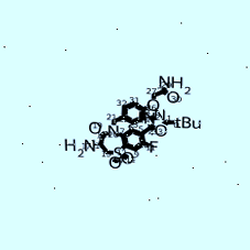 CC(C)(C)c1nnc(-c2cc3c(cc2F)S(=O)(=O)C[C@H](N)C(=O)N3Cc2ccc(OCC(N)=O)cc2)o1